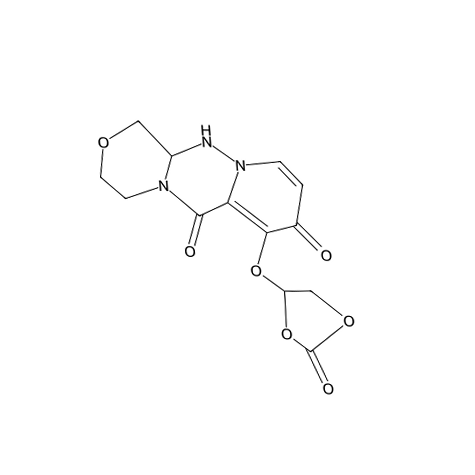 O=C1OCC(Oc2c3n(ccc2=O)NC2COCCN2C3=O)O1